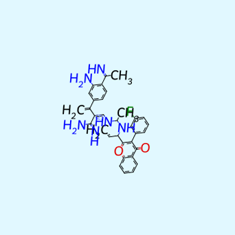 C=CC(NC(C)N/C=C(/C(=C)c1ccc(C(C)=N)c(N)c1)C(=N)N)c1oc2ccccc2c(=O)c1-c1cccc(F)c1